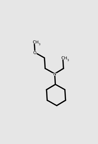 CCN(CCOC)C1CCCCC1